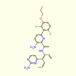 C=C/C(NC(=C)c1nc(-c2c(F)ccc(OCCC)c2F)ccc1N)=C(\C=C/C)c1ccnc(N)n1